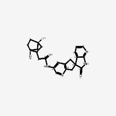 O=C(CC1C[C@H]2CC[C@@H]1C2)Nc1cnc2c(c1)CC1(C2)C(=O)Nc2ncccc21